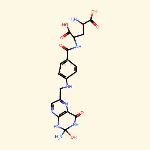 NC(CC(NC(=O)c1ccc(NCc2cnc3c(n2)C(=O)NC(N)(O)N3)cc1)C(=O)O)C(=O)O